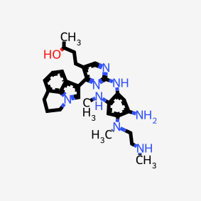 CNCCN(C)c1cc(NC)c(Nc2ncc(CCC(C)O)c(-c3cn4c5c(cccc35)CCC4)n2)cc1N